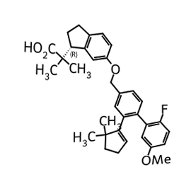 COc1ccc(F)c(-c2ccc(COc3ccc4c(c3)[C@H](C(C)(C)C(=O)O)CC4)cc2C2=CCCC2(C)C)c1